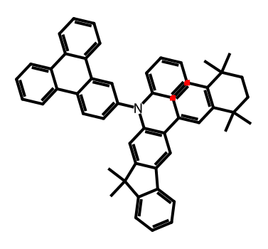 CC1(C)CCC(C)(C)c2cc(-c3cc4c(cc3N(c3ccccc3)c3ccc5c6ccccc6c6ccccc6c5c3)C(C)(C)c3ccccc3-4)ccc21